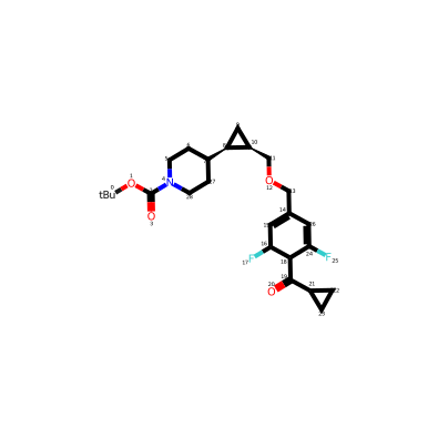 CC(C)(C)OC(=O)N1CCC([C@H]2C[C@H]2COCC2=CC(F)C(C(=O)C3CC3)C(F)=C2)CC1